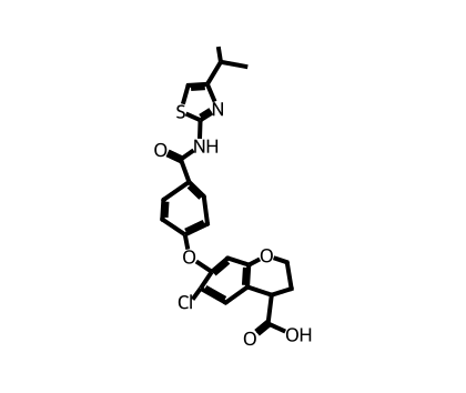 CC(C)c1csc(NC(=O)c2ccc(Oc3cc4c(cc3Cl)C(C(=O)O)CCO4)cc2)n1